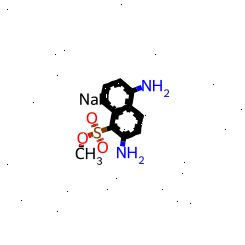 COS(=O)(=O)c1c(N)ccc2c(N)cccc12.[NaH]